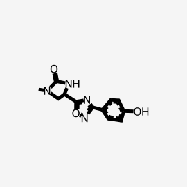 CN1CC(c2nc(-c3ccc(O)cc3)no2)NC1=O